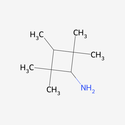 CC1C(C)(C)C(N)C1(C)C